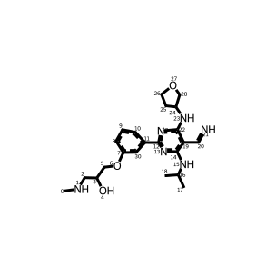 CNCC(O)COc1cccc(-c2nc(NC(C)C)c(C=N)c(NC3CCOC3)n2)c1